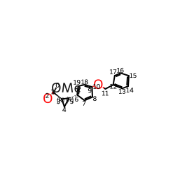 COC(=O)[C@@H]1C[C@H]1c1ccc(OCc2ccccc2)cc1